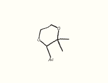 CC(=O)C1OCCOC1(C)C